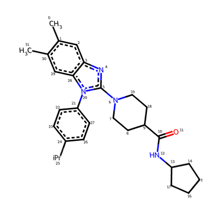 Cc1cc2nc(N3CCC(C(=O)NC4CCCC4)CC3)n(-c3ccc(C(C)C)cc3)c2cc1C